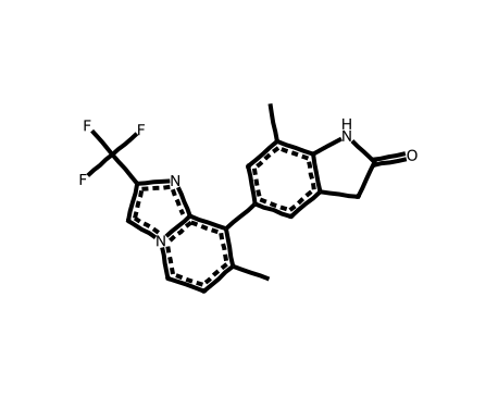 Cc1cc(-c2c(C)ccn3cc(C(F)(F)F)nc23)cc2c1NC(=O)C2